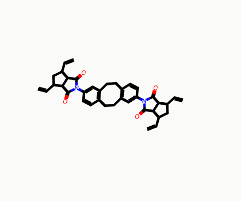 C=CC1CC(C=C)C2C(=O)N(c3ccc4c(c3)CCc3ccc(N5C(=O)C6C(C=C)CC(C=C)C6C5=O)cc3CC4)C(=O)C12